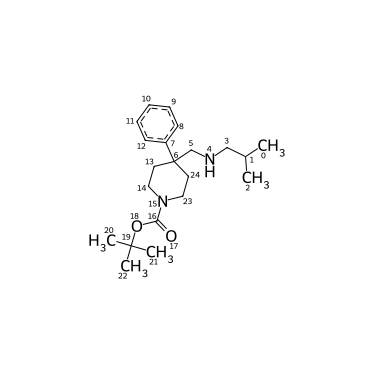 CC(C)CNCC1(c2ccccc2)CCN(C(=O)OC(C)(C)C)CC1